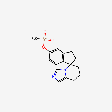 O=S(=O)(Oc1ccc2c(c1)CCC21CCCc2cncn21)C(F)(F)F